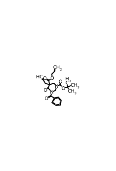 C#CCC1(C(=O)OCC=C)CN(C(=O)OC(C)(C)C)CN(C(=O)c2ccccc2)C1=O